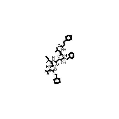 CC[C@H](C)[C@H](NC(=O)C[C@H](O)[C@H](Cc1ccccc1)NC(=O)[C@@H](NC(=O)CCc1ccccc1)C(C)C)C(=O)N[C@H](C(=O)OCc1ccccc1)C(C)C